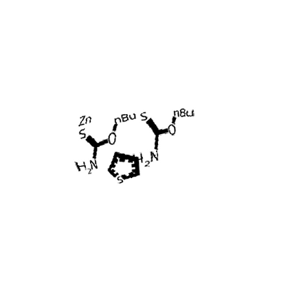 CCCCOC(N)=S.CCCCOC(N)=S.[Zn].c1ccsc1